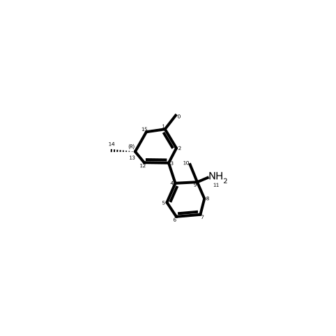 CC1=CC(C2=CC=CCC2(C)N)=C[C@H](C)C1